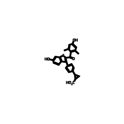 Cc1cc(O)cc(C)c1C(=O)c1sc2cc(O)ccc2c1-c1ccc(C2CC2C(=O)O)cc1